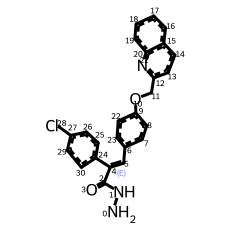 NNC(=O)/C(=C/c1ccc(OCc2ccc3ccccc3n2)cc1)c1ccc(Cl)cc1